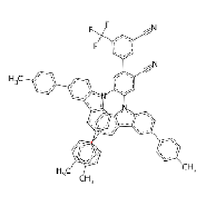 Cc1ccc(-c2ccc3c(c2)c2cc(-c4ccc(C)cc4)ccc2n3-c2cc(C#N)c(-c3cc(C#N)cc(C(F)(F)F)c3)cc2-n2c3ccc(-c4ccc(C)cc4)cc3c3cc(-c4ccc(C)cc4)ccc32)cc1